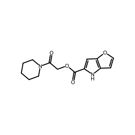 O=C(OCC(=O)N1CCCCC1)c1cc2occc2[nH]1